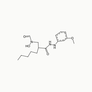 CCCCCC(CN(O)C=O)C(=O)NNc1cccc(OC)c1